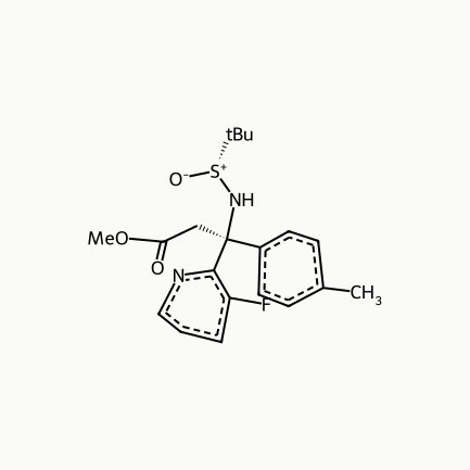 COC(=O)C[C@](N[S@+]([O-])C(C)(C)C)(c1ccc(C)cc1)c1ncccc1F